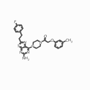 Cc1cccc(OCC(=O)N2CCN(c3nc(N)nc4sc(CCc5ccc(F)cc5)nc34)CC2)c1